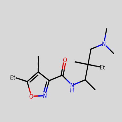 CCc1onc(C(=O)NC(C)C(C)(CC)CN(C)C)c1C